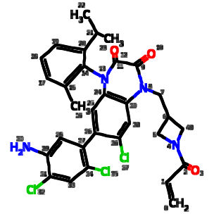 C=CC(=O)N1CC(Cn2c(=O)c(=O)n(-c3c(C)cccc3C(C)C)c3cc(-c4cc(N)c(Cl)cc4Cl)c(Cl)cc32)C1